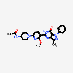 COc1nc(N2CCC(NC(C)=O)CC2)ccc1-c1nc2c(C)nn(-c3ccccc3)c2c(=O)[nH]1